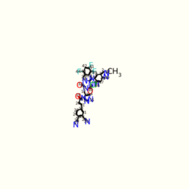 Cn1cc2cc(/N=c3\[nH]c(=O)n(Cc4cnnn4C(=O)/C=C/c4ccc(C#N)c(C#N)c4)c(=O)n3Cc3cc(F)c(F)cc3F)c(Cl)cc2n1